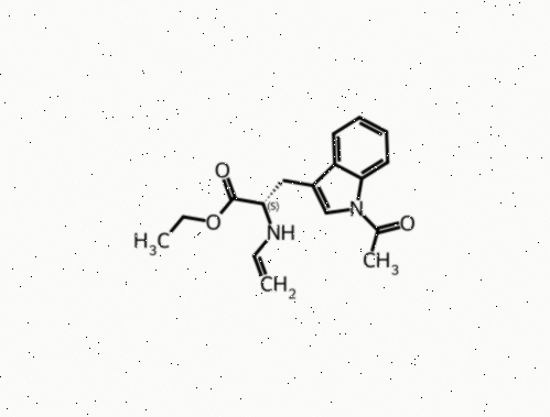 C=CN[C@@H](Cc1cn(C(C)=O)c2ccccc12)C(=O)OCC